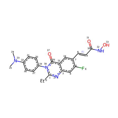 CCc1nc2cc(F)c(/C=C/C(=O)NO)cc2c(=O)n1-c1ccc(N(C)C)cc1